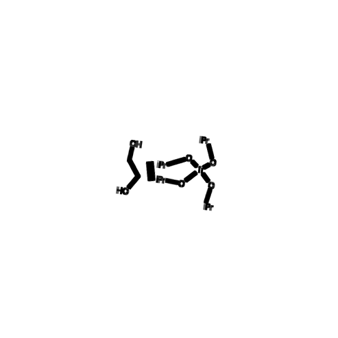 C=C.CC(C)[O][Ti]([O]C(C)C)([O]C(C)C)[O]C(C)C.OCCO